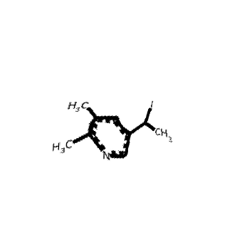 Cc1cc(C(C)I)cnc1C